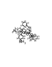 CN1CC(CN(C[C@@H](O)[C@H](Cc2ccccc2)NC(=O)OC2C3COC4OC2CC4C3)S(=O)(=O)c2ccc(N)cc2)C1